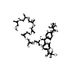 COCC(C)OCC(C)OCC(C)OCC(C)OCC(C)OCC(C)OCC(C)NC(c1ccc(C(=O)C(C)(C)O)cc1)c1ccc(C(=O)C(C)(C)O)cc1